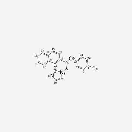 Fc1ccc(OC(Cn2ccnc2)c2ccc3ccccc3c2)cc1